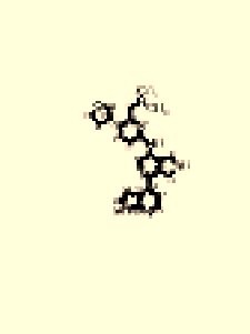 CN(C)Cc1nc(Nc2cnc(-c3ccnc4[nH]ccc34)c3c2CNC3)ccc1[C@@H]1CCOC1